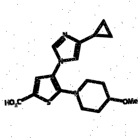 COC1CCN(c2sc(C(=O)O)cc2-n2cnc(C3CC3)c2)CC1